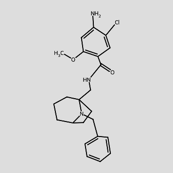 COc1cc(N)c(Cl)cc1C(=O)NCC12CCCC(CC1)N2Cc1ccccc1